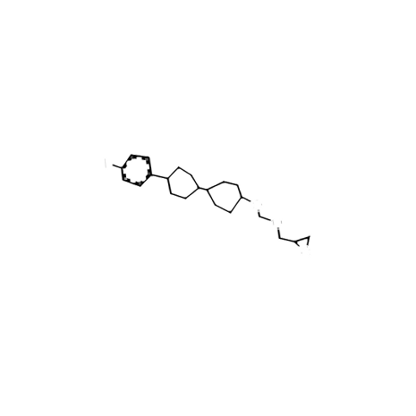 Fc1ccc(C2CCC(C3CCC(OCOCC4CO4)CC3)CC2)cc1